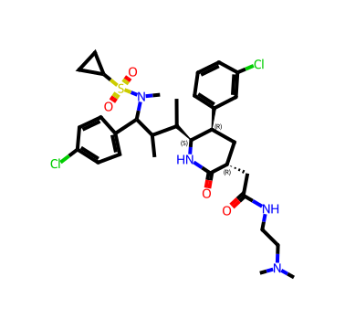 CC(C(C)[C@@H]1NC(=O)[C@@H](CC(=O)NCCN(C)C)C[C@@H]1c1cccc(Cl)c1)C(c1ccc(Cl)cc1)N(C)S(=O)(=O)C1CC1